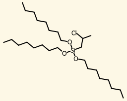 CCCCCCCCO[Si](CC(C)Cl)(OCCCCCCCC)OCCCCCCCC